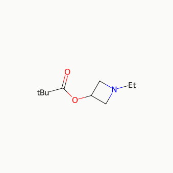 CCN1CC(OC(=O)C(C)(C)C)C1